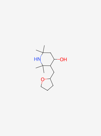 CC1(C)CC(O)C(CC2CCCO2)C(C)(C)N1